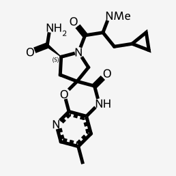 CNC(CC1CC1)C(=O)N1CC2(C[C@H]1C(N)=O)Oc1ncc(C)cc1NC2=O